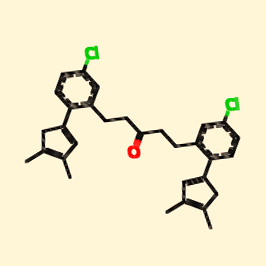 CC1=C(C)CC(c2ccc(Cl)cc2CCC(=O)CCc2cc(Cl)ccc2C2=CC(C)=C(C)C2)=C1